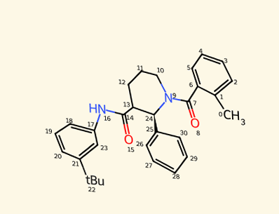 Cc1ccccc1C(=O)N1CCCC(C(=O)Nc2cccc(C(C)(C)C)c2)[C@@H]1c1ccccc1